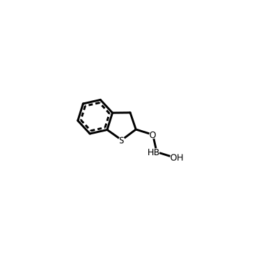 OBOC1Cc2ccccc2S1